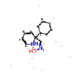 O/N=C\C1(C2CCCCC2)C=CC=CN1